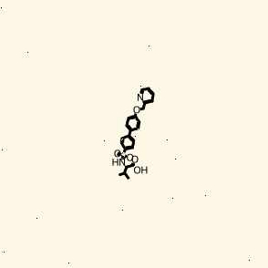 CC(C)[C@@H](NS(=O)(=O)c1ccc(-c2ccc(OCc3ccccn3)cc2)cc1)C(=O)O